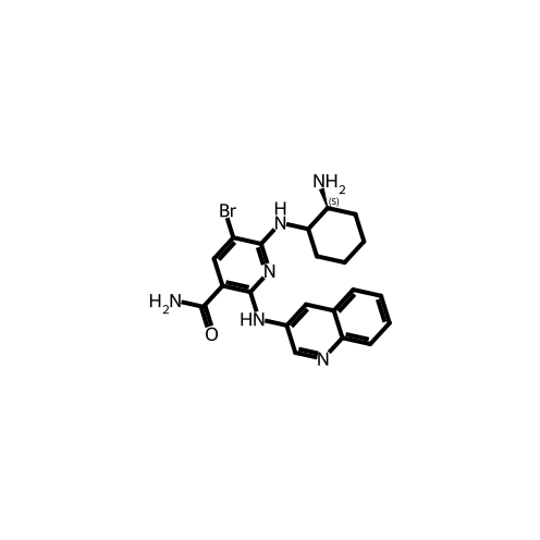 NC(=O)c1cc(Br)c(NC2CCCC[C@@H]2N)nc1Nc1cnc2ccccc2c1